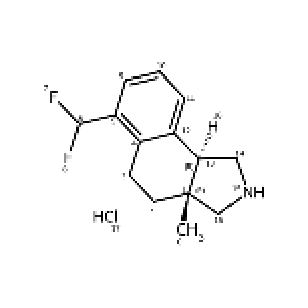 C[C@@]12CCc3c(C(F)F)cccc3[C@H]1CNC2.Cl